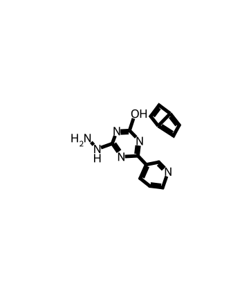 NNc1nc(O)nc(-c2cccnc2)n1.c1cc2ccc1-2